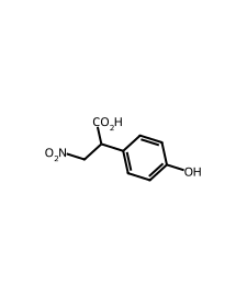 O=C(O)C(C[N+](=O)[O-])c1ccc(O)cc1